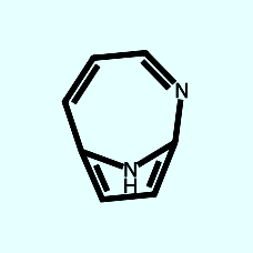 C1=Cc2ccc([nH]2)N=C1